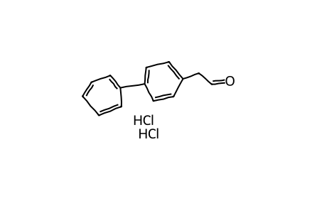 Cl.Cl.O=CCc1ccc(-c2ccccc2)cc1